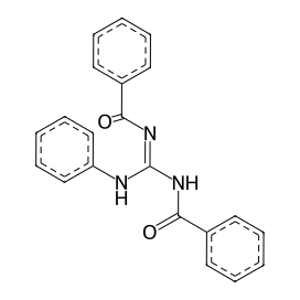 O=C(/N=C(/NC(=O)c1ccccc1)Nc1ccccc1)c1ccccc1